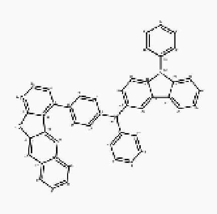 c1ccc(N(c2ccc(-c3ccnc4sc5cc6ccccc6cc5c34)cc2)c2ccc3c(c2)c2ccccc2n3-c2ccccc2)cc1